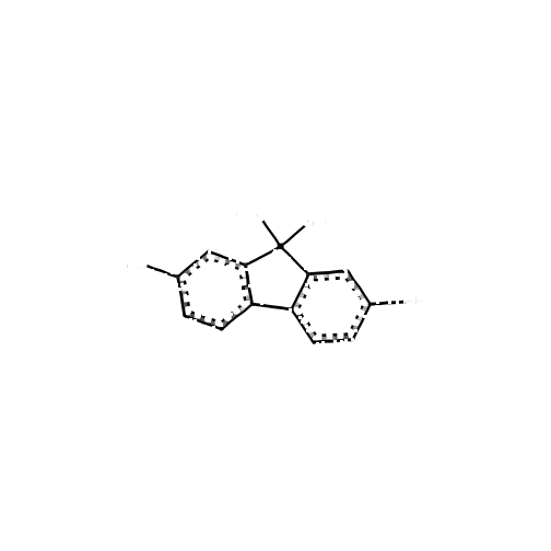 Bc1ccc2c(c1)C(CCCCCCCC)(CCCCCCCC)c1cc(B)ccc1-2